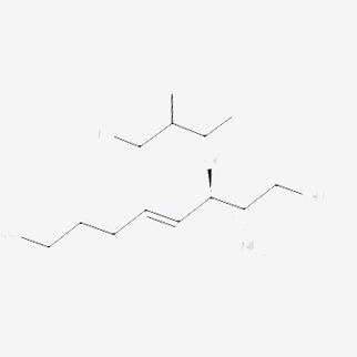 CCCCCCCCCCCCC/C=C/[C@@H](O)[C@@H](N)CO.OCC(O)CS